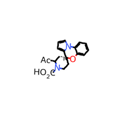 CC(=O)C1C[C@@]2(CCN1C(=O)O)Oc1ccccc1-n1cccc12